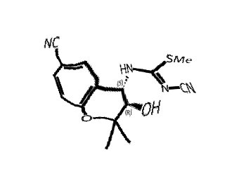 CSC(=NC#N)N[C@H]1c2cc(C#N)ccc2OC(C)(C)[C@@H]1O